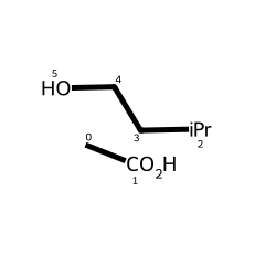 CC(=O)O.CC(C)CCO